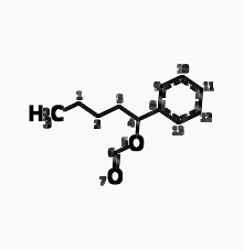 CCCCC(OC=O)c1ccccc1